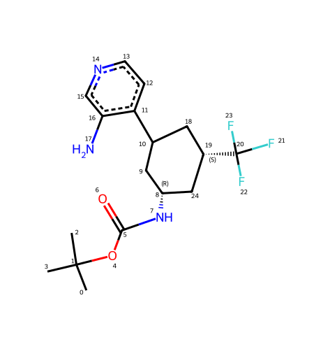 CC(C)(C)OC(=O)N[C@@H]1CC(c2ccncc2N)C[C@H](C(F)(F)F)C1